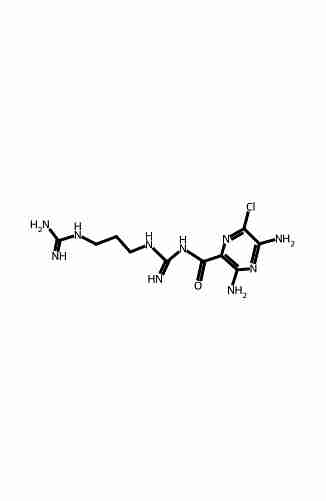 N=C(N)NCCCNC(=N)NC(=O)c1nc(Cl)c(N)nc1N